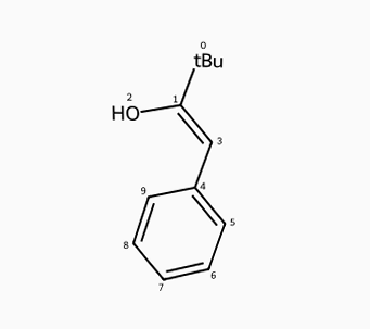 CC(C)(C)/C(O)=C/c1ccccc1